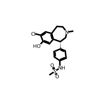 CN1CCc2cc(Cl)c(O)cc2[C@@H](c2ccc(NS(C)(=O)=O)cc2)C1